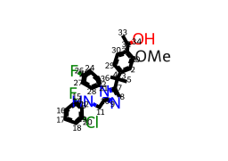 COc1cc(C(C)(C)c2cnc(CNc3c(F)cccc3Cl)n2-c2ccc(F)cc2)ccc1C(C)O